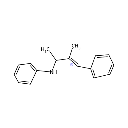 C/C(=C\c1ccccc1)C(C)Nc1ccccc1